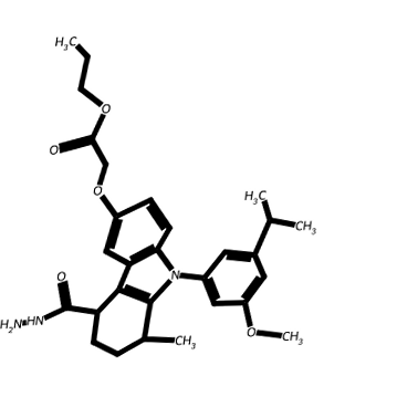 CCCOC(=O)COc1ccc2c(c1)c1c(n2-c2cc(OC)cc(C(C)C)c2)C(C)CCC1C(=O)NN